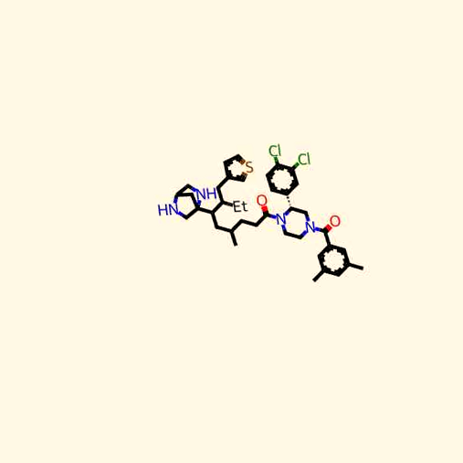 CCC(Cc1ccsc1)C(CC(C)CCC(=O)N1CCN(C(=O)c2cc(C)cc(C)c2)C[C@H]1c1ccc(Cl)c(Cl)c1)C12CNC(CN1)C2